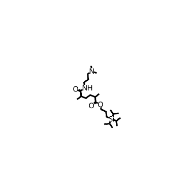 CC(CCC(C)C(=O)OCCC[Si](C(C)C)(C(C)C)C(C)C)C(=O)NCCCN(C)C